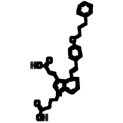 O=C(O)C=Cc1cn(CCCC(=O)O)c2cccc(C=Cc3ccc(OCCCc4ccccc4)cc3)c12